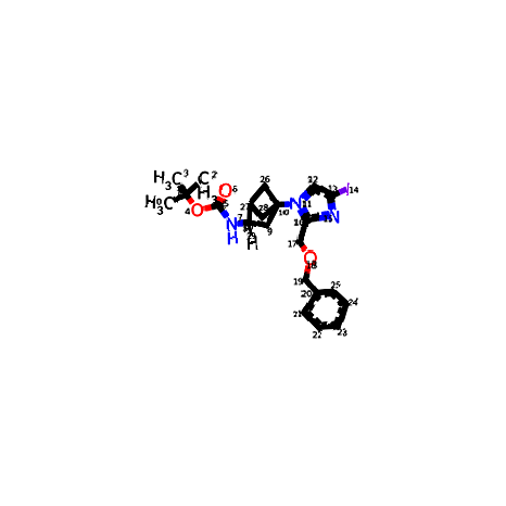 CC(C)(C)OC(=O)N[C@H]1CC2(n3cc(I)nc3COCc3ccccc3)CC1C2